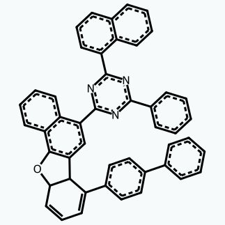 C1=CC2Oc3c(cc(-c4nc(-c5ccccc5)nc(-c5cccc6ccccc56)n4)c4ccccc34)C2C(c2ccc(-c3ccccc3)cc2)=C1